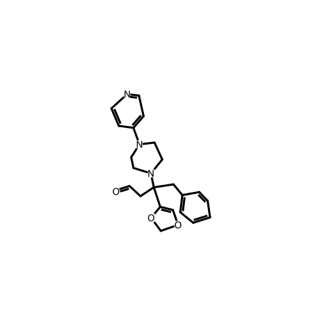 O=CCC(Cc1ccccc1)(C1=COCO1)N1CCN(c2ccncc2)CC1